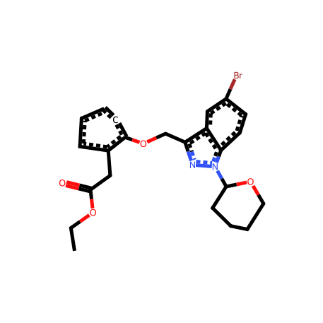 CCOC(=O)Cc1ccccc1OCc1nn(C2CCCCO2)c2ccc(Br)cc12